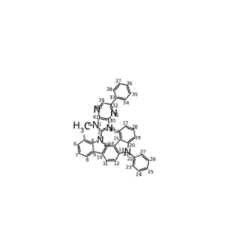 Cn1c(-n2c3ccccc3c3ccc4c(c5ccccc5n4-c4ccccc4)c32)nc2nc(-c3ccccc3)cnc21